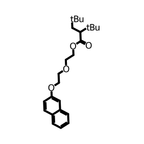 CC(C)(C)CC(C(=O)OCCOCCOc1ccc2ccccc2c1)C(C)(C)C